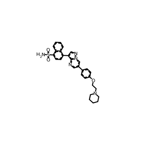 NS(=O)(=O)c1ccc(-c2cnn3cc(-c4ccc(OCCN5CCCCC5)cc4)cnc23)c2ccccc12